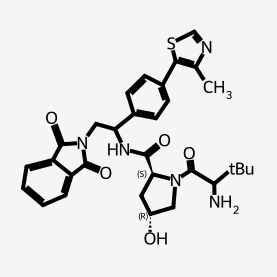 Cc1ncsc1-c1ccc(C(CN2C(=O)c3ccccc3C2=O)NC(=O)[C@@H]2C[C@@H](O)CN2C(=O)C(N)C(C)(C)C)cc1